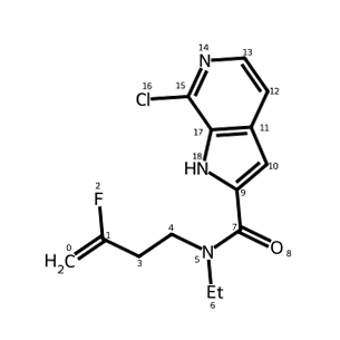 C=C(F)CCN(CC)C(=O)c1cc2ccnc(Cl)c2[nH]1